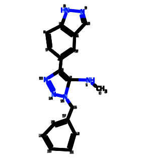 CNc1c(-c2ccc3[nH]ncc3c2)nnn1Cc1ccccc1